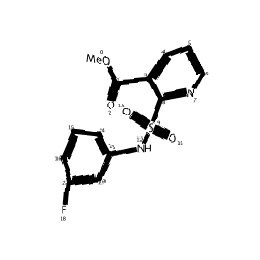 COC(=O)c1cccnc1S(=O)(=O)Nc1cccc(F)c1